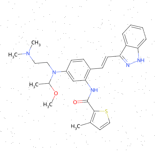 COC(C)N(CCN(C)C)c1ccc(C=Cc2n[nH]c3ccccc23)c(NC(=O)c2sccc2C)c1